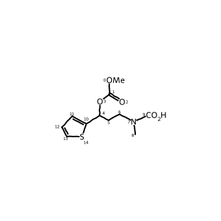 COC(=O)OC(CCN(C)C(=O)O)c1cccs1